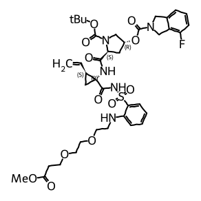 C=C[C@@H]1C[C@]1(NC(=O)[C@@H]1C[C@@H](OC(=O)N2Cc3cccc(F)c3C2)CN1C(=O)OC(C)(C)C)C(=O)NS(=O)(=O)c1ccccc1NCCOCCOCCC(=O)OC